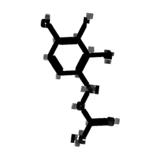 O=C(ONc1ccc(Cl)c(F)c1Br)C(F)(F)F